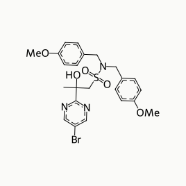 COc1ccc(CN(Cc2ccc(OC)cc2)S(=O)(=O)CC(C)(O)c2ncc(Br)cn2)cc1